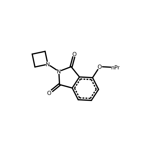 CCCOc1cccc2c1C(=O)N(N1CCC1)C2=O